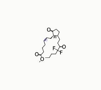 CCCCC(F)(F)C(=O)CCC1CCC(=O)[C@@H]1C/C=C\CCCC(=O)OC